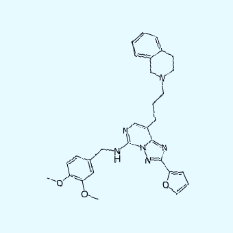 COc1ccc(CNc2ncc(CCCN3CCc4ccccc4C3)c3nc(-c4ccco4)nn23)cc1OC